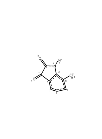 CC(C)N1C(=O)C(=O)c2cccc(C(F)(F)F)c21